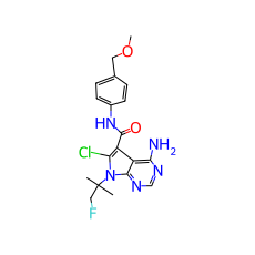 COCc1ccc(NC(=O)c2c(Cl)n(C(C)(C)CF)c3ncnc(N)c23)cc1